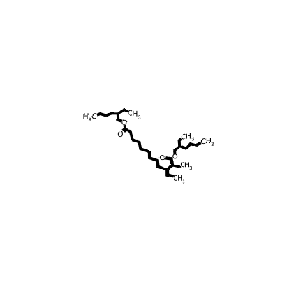 CCCCC(CC)COC(=O)CCCCCCCCC(CC)C(CC)C(=O)OCC(CC)CCCC